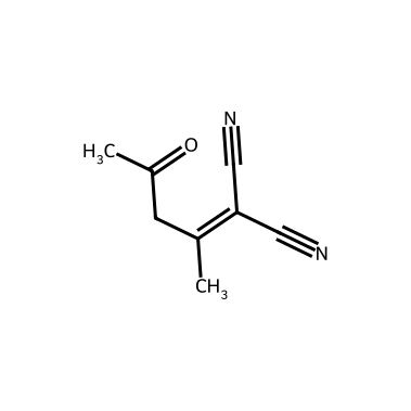 CC(=O)CC(C)=C(C#N)C#N